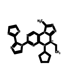 CC[C@@H]1c2nnc(C)n2-c2cnc(-n3ccnc3-c3ncco3)nc2N1C1CCCC1